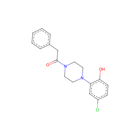 O=C(Cc1ccccc1)N1CCN(c2cc(Cl)ccc2O)CC1